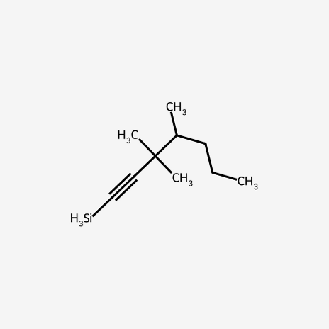 CCCC(C)C(C)(C)C#C[SiH3]